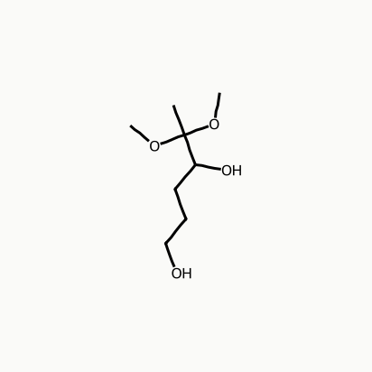 COC(C)(OC)C(O)CCCO